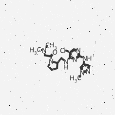 CN(C)CC(=O)N1CCCC1CNc1nc(Nc2cnn(C)c2)ncc1Cl